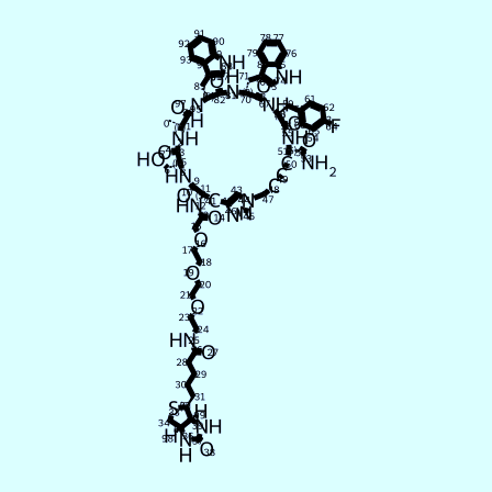 C[C@H]1NC(=O)[C@@H](CO)NC(=O)[C@@H](NC(=O)COCCOCCOCCNC(=O)CCCC[C@@H]2SC[C@@H]3NC(=O)N[C@@H]32)Cc2cn(nn2)CCCC[C@@H](C(N)=O)NC(=O)[C@H](Cc2ccc(F)cc2)NC(=O)[C@@H](Cc2c[nH]c3ccccc23)NC(=O)[C@@H](Cc2c[nH]c3ccccc23)NC1=O